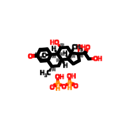 C[C@H]1C[C@@H]2[C@H]([C@@H](O)C[C@@]3(C)[C@H]2CC[C@]3(O)C(=O)CO)[C@@]2(C)C=CC(=O)C=C12.O=[PH](O)O[PH](=O)O